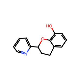 Oc1cccc2c1OC(c1ccccn1)CC2